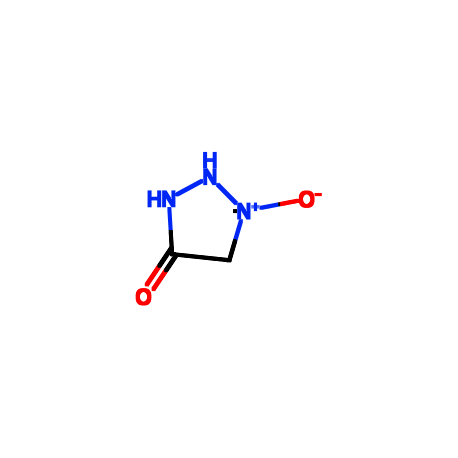 O=C1C[N+]([O-])NN1